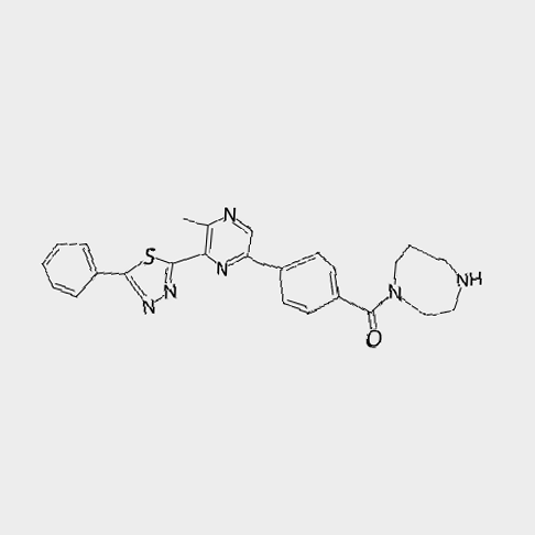 Cc1ncc(-c2ccc(C(=O)N3CCCNCC3)cc2)nc1-c1nnc(-c2ccccc2)s1